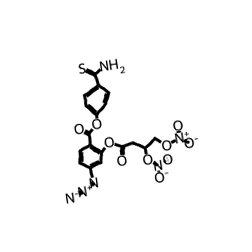 [N-]=[N+]=Nc1ccc(C(=O)Oc2ccc(C(N)=S)cc2)c(OC(=O)CC(CO[N+](=O)[O-])O[N+](=O)[O-])c1